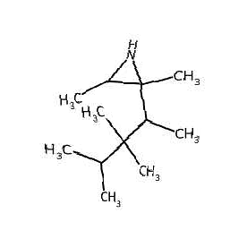 CC(C)C(C)(C)C(C)C1(C)NC1C